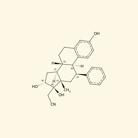 C[C@]12C[C@H](c3ccccc3)[C@@H]3c4ccc(O)cc4CC[C@H]3[C@@H]1C[C@@H](O)[C@@]2(O)CC#N